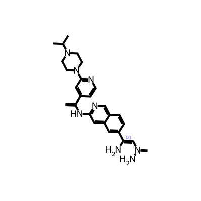 C=C(Nc1cc2cc(/C(N)=C/N(C)N)ccc2cn1)c1ccnc(N2CCN(C(C)C)CC2)c1